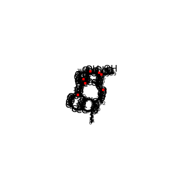 CCCCCCC1CCCC2CCCCCC(C)S(=O)(=O)OS(=O)(=O)C(C)CCC3CCC(CCCC(CCC(CCC)S(=O)(=O)OS(=O)(=O)C(CC)CCC4CCCC5CCC(C(CC)S(=O)(=O)OS(=O)(=O)C(CC)CCC(S(=O)(=O)O)C(CCC(S(=O)(=O)O)C(CCCCC(CCC)S(=O)(=O)O)S(=O)(=O)OS4(=O)=O)S(=O)(=O)OS5(=O)=O)S(=O)(=O)OS3(=O)=O)S(=O)(=O)OS1(=O)=O)S(=O)(=O)OS2(=O)=O